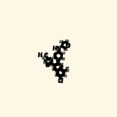 Cc1noc(-c2cc3cc(Cl)cc(F)c3nc2N2CCC(N[C@@H]3CCOC3)CC2)n1